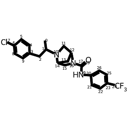 CC(Cc1ccc(Cl)cc1)N1CC2CC1CN2C(=O)Nc1ccc(C(F)(F)F)cc1